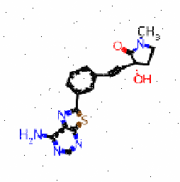 CN1CC[C@@](O)(C#Cc2cccc(-c3nc4c(N)ncnc4s3)c2)C1=O